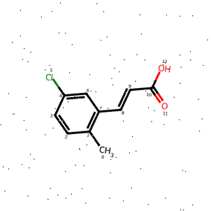 Cc1ccc(Cl)cc1C=CC(=O)O